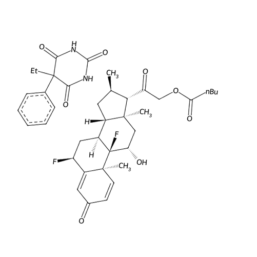 CCC1(c2ccccc2)C(=O)NC(=O)NC1=O.CCCCC(=O)OCC(=O)[C@H]1[C@H](C)C[C@H]2[C@@H]3C[C@H](F)C4=CC(=O)C=C[C@]4(C)[C@@]3(F)[C@@H](O)C[C@@]21C